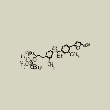 CCCCc1ccc(-c2ccc(C(CC)(CC)c3ccc(CCC(O[Si](C)(C)C(C)(C)C)C(C)(C)C)c(C)c3)cc2C)o1